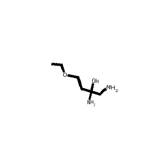 CCOCCC(N)(O)CN